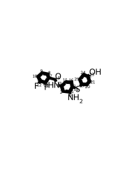 Nc1cc(NC(=O)c2cccc(F)c2F)ccc1Sc1ccc(O)cc1